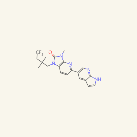 Cn1c(=O)n(CC(C)(C)CC(F)(F)F)c2ccc(-c3cnc4[nH]ccc4c3)nc21